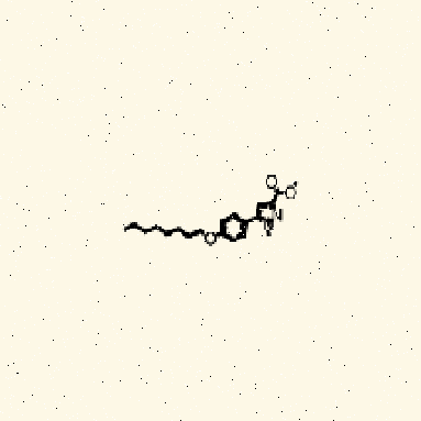 CCCCCCCCOc1ccc(-c2cc(C(=O)OC)nn2C)cc1